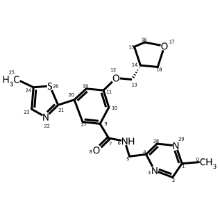 Cc1cnc(CNC(=O)c2cc(OC[C@@H]3CCOC3)cc(-c3ncc(C)s3)c2)cn1